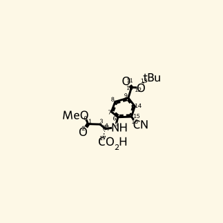 COC(=O)C[C@H](Nc1ccc(C(=O)OC(C)(C)C)cc1C#N)C(=O)O